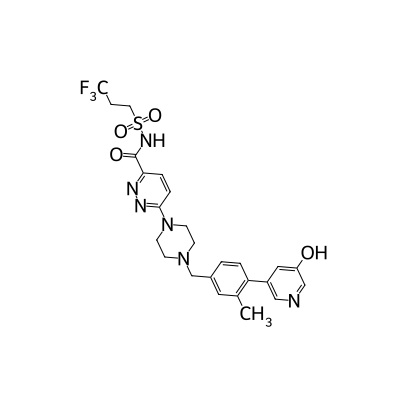 Cc1cc(CN2CCN(c3ccc(C(=O)NS(=O)(=O)CCC(F)(F)F)nn3)CC2)ccc1-c1cncc(O)c1